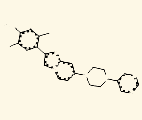 COc1cc(C)c(-c2cn3ccc(N4CCN(c5cncnc5)CC4)cc3n2)cc1Cl